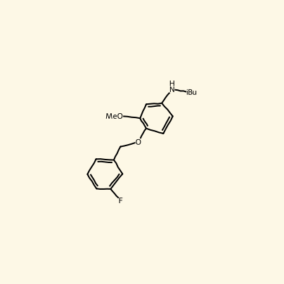 CCC(C)Nc1ccc(OCc2cccc(F)c2)c(OC)c1